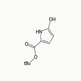 CC(C)(C)OC(=O)c1ccc(O)[nH]1